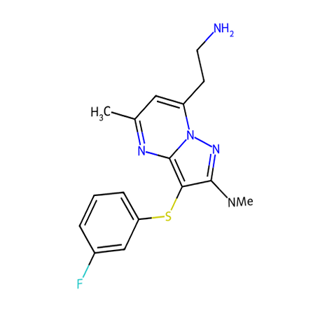 CNc1nn2c(CCN)cc(C)nc2c1Sc1cccc(F)c1